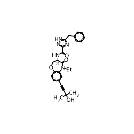 CCN1C(=O)[C@@H](NC(=O)c2n[nH]c(Cc3ccccc3)n2)COc2ccc(C#CC(C)(C)O)cc21